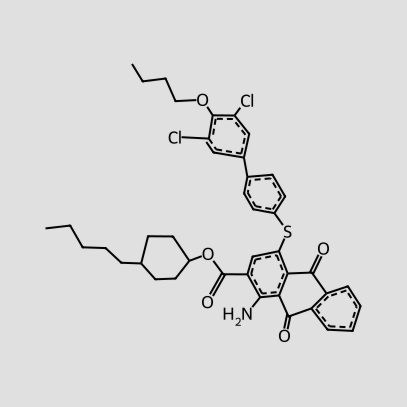 CCCCCC1CCC(OC(=O)c2cc(Sc3ccc(-c4cc(Cl)c(OCCCC)c(Cl)c4)cc3)c3c(c2N)C(=O)c2ccccc2C3=O)CC1